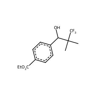 CCOC(=O)c1ccc(C(O)C(C)(C)C(F)(F)F)cc1